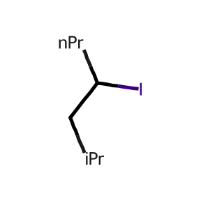 CCCC(I)CC(C)C